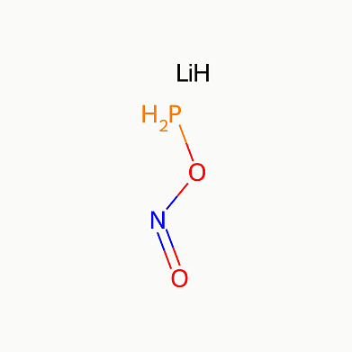 O=NOP.[LiH]